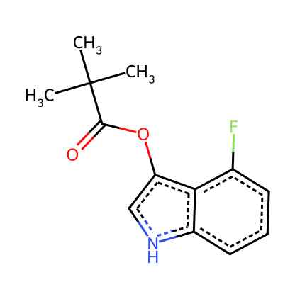 CC(C)(C)C(=O)Oc1c[nH]c2cccc(F)c12